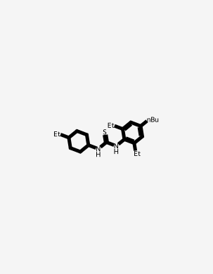 CCCCc1cc(CC)c(NC(=S)NC2CCC(CC)CC2)c(CC)c1